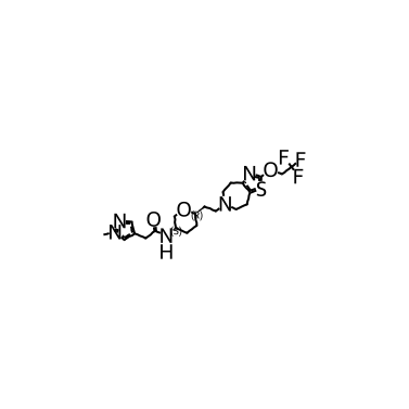 Cn1cc(CC(=O)N[C@H]2CC[C@H](CCN3CCc4nc(OCC(F)(F)F)sc4CC3)OC2)cn1